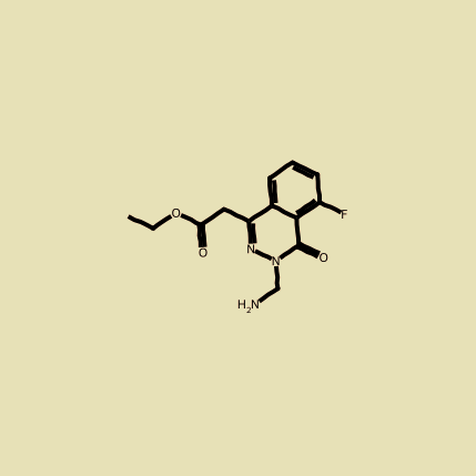 CCOC(=O)Cc1nn(CN)c(=O)c2c(F)cccc12